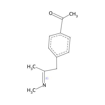 C/N=C(\C)Cc1ccc(C(C)=O)cc1